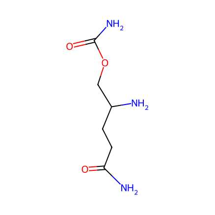 NC(=O)CCC(N)COC(N)=O